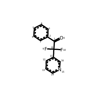 O=C(c1ccccc1)C(F)(F)c1cccnc1